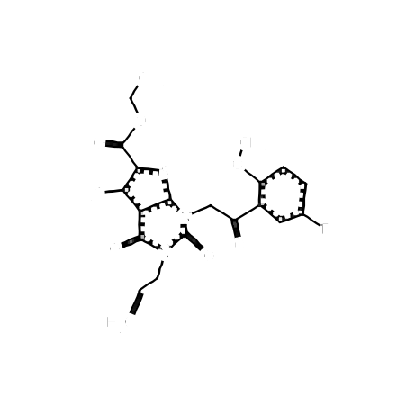 C=CCn1c(=O)c2c(C)c(C(=O)OCC)sc2n(CC(=O)c2cc(F)ccc2OC)c1=O